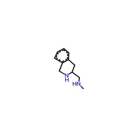 CNCC1Cc2ccccc2CN1